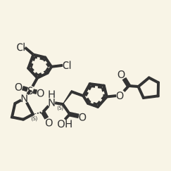 O=C(Oc1ccc(C[C@H](NC(=O)[C@@H]2CCCN2S(=O)(=O)c2cc(Cl)cc(Cl)c2)C(=O)O)cc1)C1CCCC1